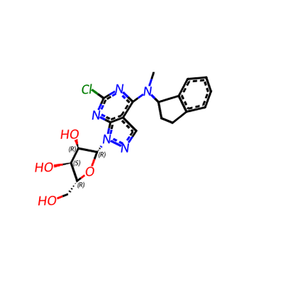 CN(c1nc(Cl)nc2c1cnn2[C@@H]1O[C@H](CO)[C@@H](O)[C@H]1O)C1CCc2ccccc21